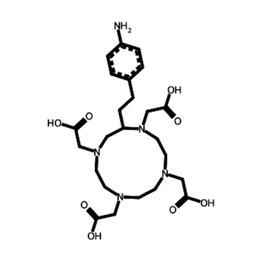 Nc1ccc(CCC2CN(CC(=O)O)CCN(CC(=O)O)CCN(CC(=O)O)CCN2CC(=O)O)cc1